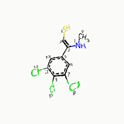 CN/C(=C\S)c1cc(Cl)c(Cl)c(Cl)c1